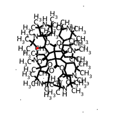 CN1C(C)(C)CC(C(C(=O)OC2CC(C)(C)NC(C)(C)C2)C(C(=O)OC2CC(C)(C)NC(C)(C)C2)(C2CC(C)(C)N(C)C(C)(C)C2)C(C(=O)OC2CC(C)(C)NC(C)(C)C2)(C2CC(C)(C)N(C)C(C)(C)C2)C(C(=O)OC2CC(C)(C)NC(C)(C)C2)C2CC(C)(C)N(C)C(C)(C)C2)CC1(C)C